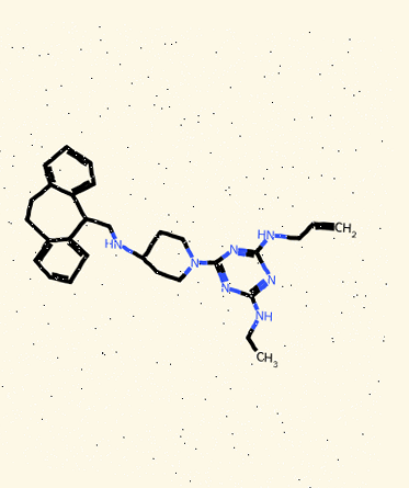 C=CCNc1nc(NCC)nc(N2CCC(NCC3c4ccccc4CCc4ccccc43)CC2)n1